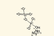 N.O=P([O-])(O)OS(=O)(=O)[O-].[Mg+2]